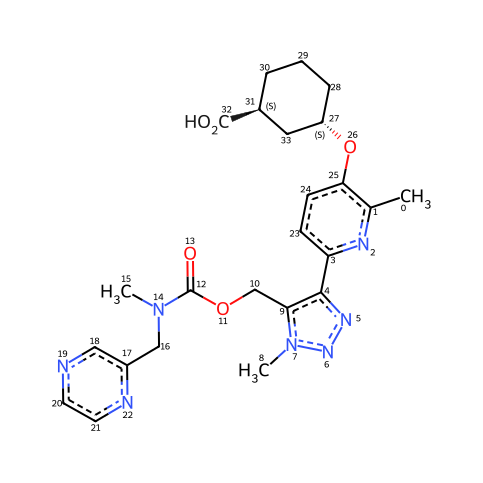 Cc1nc(-c2nnn(C)c2COC(=O)N(C)Cc2cnccn2)ccc1O[C@H]1CCC[C@H](C(=O)O)C1